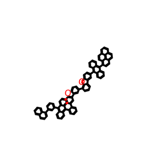 c1cc(-c2cccc3ccccc23)cc(-c2c3ccccc3c(-c3ccccc3-c3ccc4oc5ccc(-c6cccc7c6oc6ccc(-c8c9ccccc9c(-c9ccc%10ccc%11cccc%12ccc9c%10c%11%12)c9ccccc89)cc67)cc5c4c3)c3ccccc23)c1